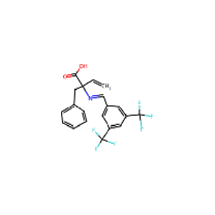 C=CC(Cc1ccccc1)(N=Cc1cc(C(F)(F)F)cc(C(F)(F)F)c1)C(=O)O